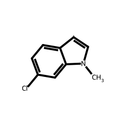 Cn1c[c]c2ccc(Cl)cc21